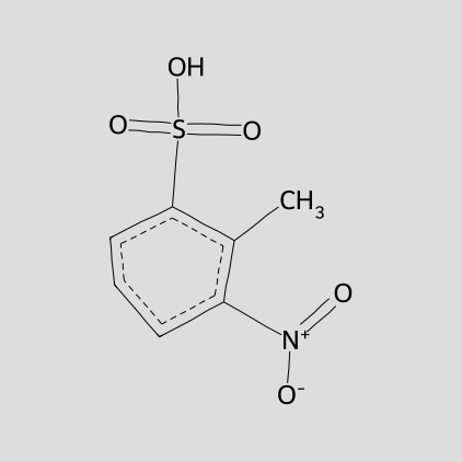 Cc1c([N+](=O)[O-])cccc1S(=O)(=O)O